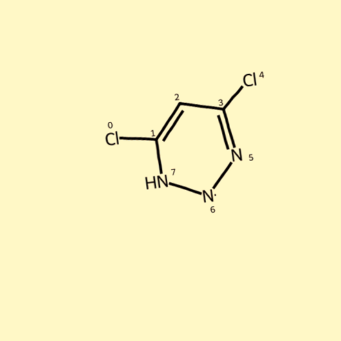 ClC1=CC(Cl)=N[N]N1